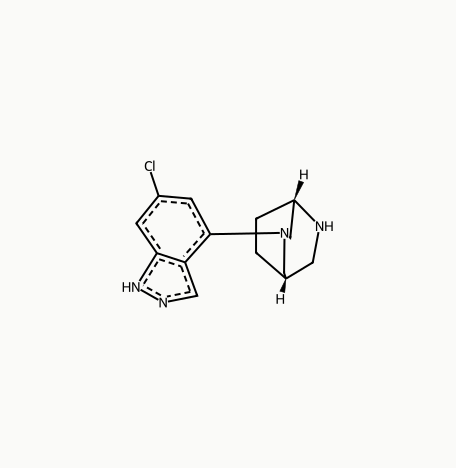 Clc1cc(N2C[C@H]3CC[C@@H](C2)NC3)c2cn[nH]c2c1